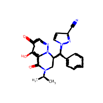 CC(C)N1CC(C(c2ccccc2)n2ccc(C#N)n2)n2ncc(=O)c(O)c2C1=O